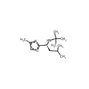 Cc1noc([C@H](CC(C)C)NC(C)(C)C)n1